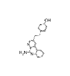 Nc1nc2ccccc2c2cc(CCc3ccc(O)cc3)cnc12